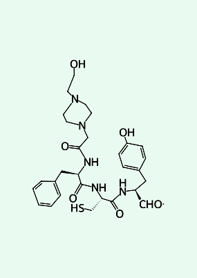 O=[C][C@H](Cc1ccc(O)cc1)NC(=O)[C@H](CS)NC(=O)[C@@H](Cc1ccccc1)NC(=O)CN1CCN(CCO)CC1